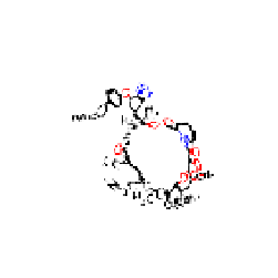 CCC1/C=C(\C)CC(C)CC(OC)C2OC(O)(C(=O)C(=O)N3CCCCC3C(=O)OC(C(C)=CC3CCC(N)C(Oc4ccc(OC)cc4)C3)C(C)CCC1=O)C(C)CC2OC